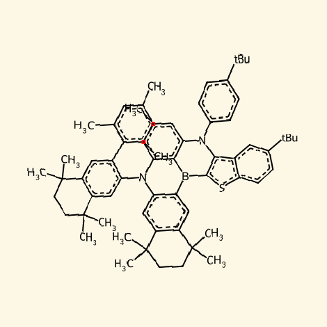 Cc1cc(C)c(-c2cc3c(cc2N2c4cc5c(cc4B4c6sc7ccc(C(C)(C)C)cc7c6N(c6ccc(C(C)(C)C)cc6)c6cc(C)cc2c64)C(C)(C)CCC5(C)C)C(C)(C)CCC3(C)C)c(C)c1